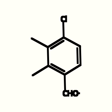 Cc1c(Cl)ccc([C]=O)c1C